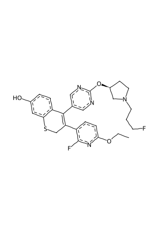 CCOc1ccc(C2=C(c3cnc(O[C@H]4CCN(CCCF)C4)nc3)c3ccc(O)cc3SC2)c(F)n1